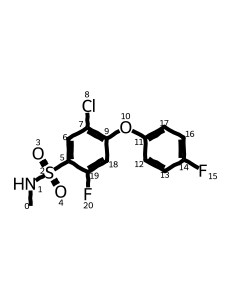 CNS(=O)(=O)c1cc(Cl)c(Oc2ccc(F)cc2)cc1F